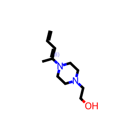 C=C/C=C(\C)N1CCN(CCO)CC1